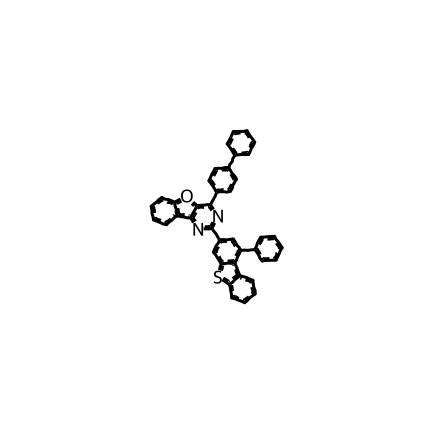 c1ccc(-c2ccc(-c3nc(-c4cc(-c5ccccc5)c5c(c4)sc4ccccc45)nc4c3oc3ccccc34)cc2)cc1